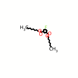 CCCCCCCCOC(=O)c1cc(F)cc(C(=O)OCCCCCCCC)c1